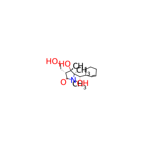 CN1C(=O)[C@H](CCO)[C@](C)(O)[C@@]1(C)[C@@H](O)[C@@H]1C=CCCC1